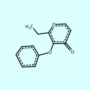 CCc1occc(=O)c1Oc1ccccc1